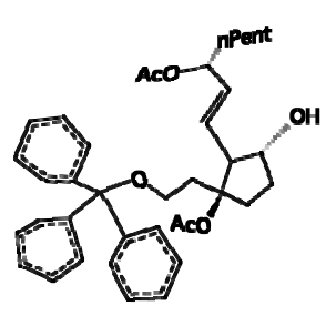 CCCCC[C@H](/C=C/C1[C@H](O)CC[C@@]1(CCOC(c1ccccc1)(c1ccccc1)c1ccccc1)OC(C)=O)OC(C)=O